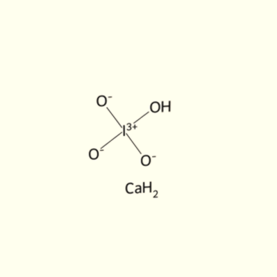 [CaH2].[O-][I+3]([O-])([O-])O